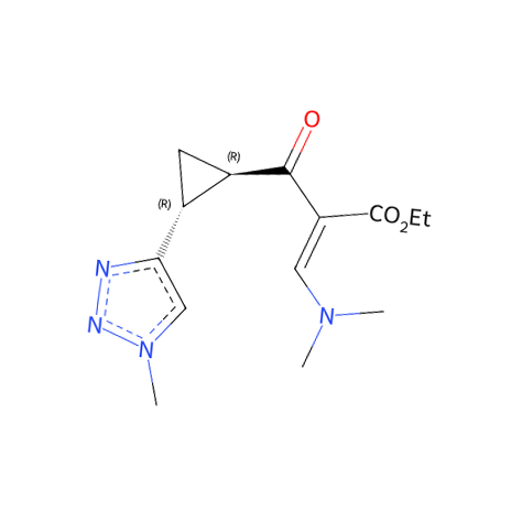 CCOC(=O)C(=CN(C)C)C(=O)[C@@H]1C[C@H]1c1cn(C)nn1